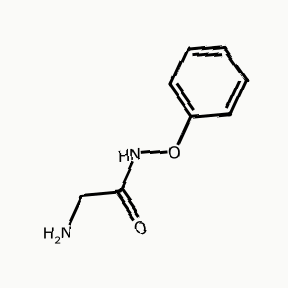 NCC(=O)NOc1ccccc1